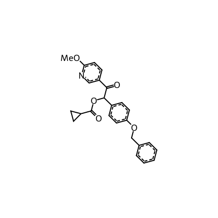 COc1ccc(C(=O)C(OC(=O)C2CC2)c2ccc(OCc3ccccc3)cc2)cn1